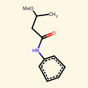 COC(C)CC(=O)Nc1ccccc1